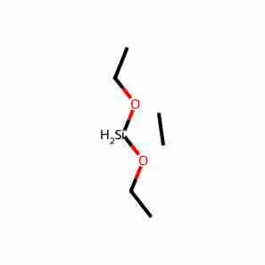 CC.CCO[SiH2]OCC